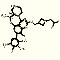 Cc1c(F)c(N)cc(-c2nc3c4c(nc(OCC5CN(CC(F)F)C5)nc4c2F)N2CCNC[C@H]2[C@H](C)O3)c1C(F)(F)F